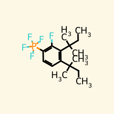 CCC(C)(C)c1ccc(P(F)(F)(F)F)c(F)c1C(C)(C)CC